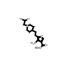 COC(=O)c1csc(CCC2CCN(CC(F)F)CC2)c1C